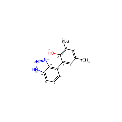 CCCCc1cc(C)cc(-c2cccc3[nH]nnc23)c1O